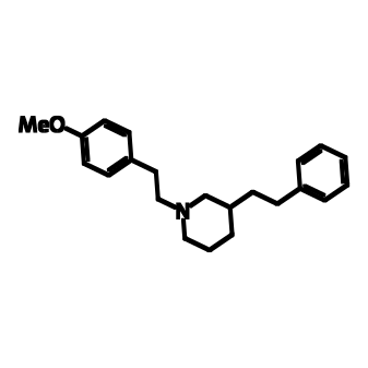 COc1ccc(CCN2CCCC(CCc3ccccc3)C2)cc1